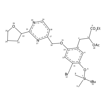 CCOC(=O)C(Cc1cc(O[Si](C)(C)C(C)(C)C)c(Br)cc1OCc1ccnc(C2CCCO2)n1)OC(C)=O